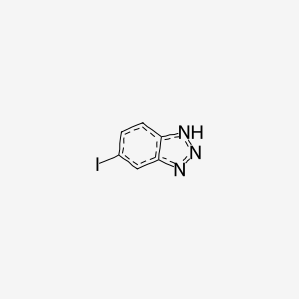 Ic1ccc2[nH]nnc2c1